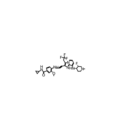 COc1cc(C(=O)NC2CC2)ccc1NCC#Cc1nc2c(N[C@@H]3CCN(C)C[C@@H]3F)cccn2c1CC(F)(F)F